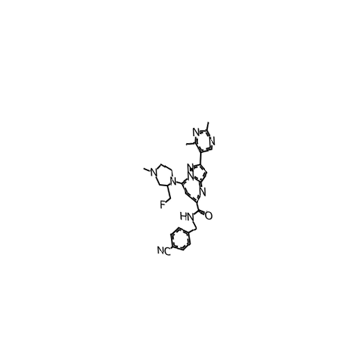 Cc1ncc(-c2cc3nc(C(=O)NCc4ccc(C#N)cc4)cc(N4CCN(C)CC4CF)n3n2)c(C)n1